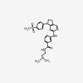 CN(C)CCNC(=O)c1cccc(Nc2ncc3c(n2)N(c2ccc(S(C)(=O)=O)cc2)CC3)c1